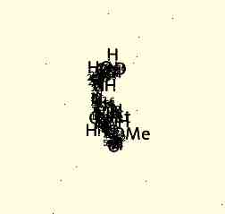 CCn1nc(C2CC2)cc1Nc1nc(C(=O)NCc2cn(CCCNc3cccc4c3CN(C3CCC(=O)NC3O)C4=O)cn2)nc2[nH]c3cc(-c4c(C)noc4C)c(OC)cc3c12